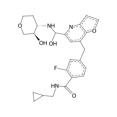 O=C(NCC1CC1)c1ccc(Cc2cc(C(O)N[C@H]3CCOC[C@@H]3O)nc3ccoc23)cc1F